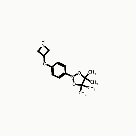 CC1(C)OB(c2ccc(OC3CNC3)cc2)OC1(C)C